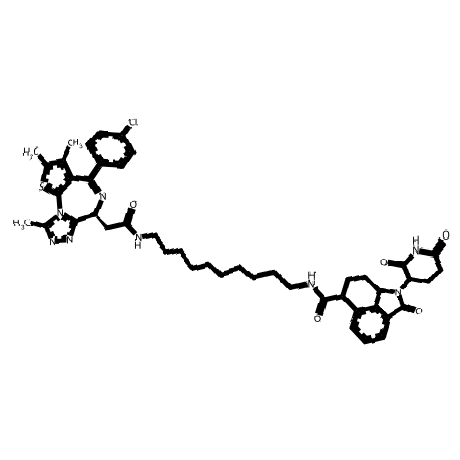 Cc1sc2c(c1C)C(c1ccc(Cl)cc1)=N[C@@H](CC(=O)NCCCCCCCCCCNC(=O)C1CCC3c4c(cccc41)C(=O)N3C1CCC(=O)NC1=O)c1nnc(C)n1-2